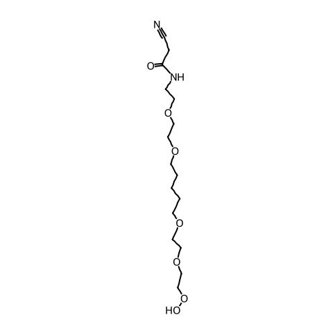 N#CCC(=O)NCCOCCOCCCCCOCCOCCOO